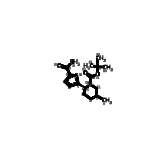 CC1CC[C@@H](c2ccc(C(N)=O)s2)N(C(=O)OC(C)(C)C)C1